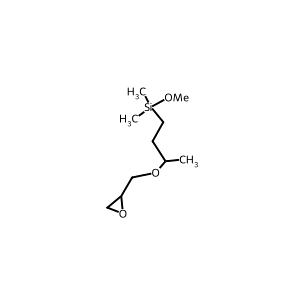 CO[Si](C)(C)CCC(C)OCC1CO1